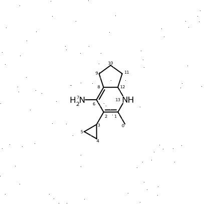 CC1=C(C2CC2)C(N)=C2CCCC2N1